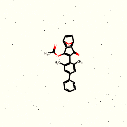 CC(=O)OC1=C(c2c(C)cc(-c3ccccc3)cc2C)C(=O)c2c1c1ccc2o1